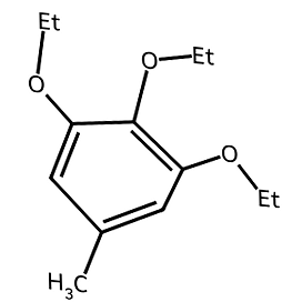 CCOc1cc(C)cc(OCC)c1OCC